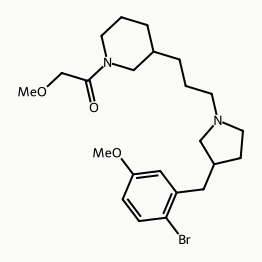 COCC(=O)N1CCCC(CCCN2CCC(Cc3cc(OC)ccc3Br)C2)C1